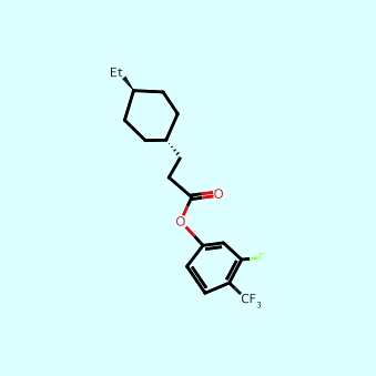 CC[C@H]1CC[C@H](CCC(=O)Oc2ccc(C(F)(F)F)c(F)c2)CC1